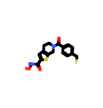 O=C(NO)c1cc2c(s1)CN(C(=O)c1ccc(CF)cc1)CC2